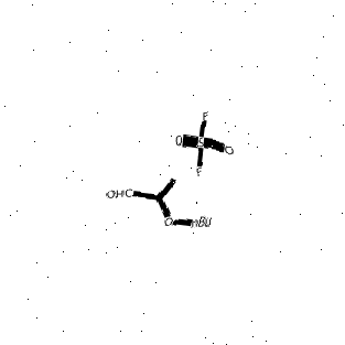 CCCCOC(C)C=O.O=S(=O)(F)F